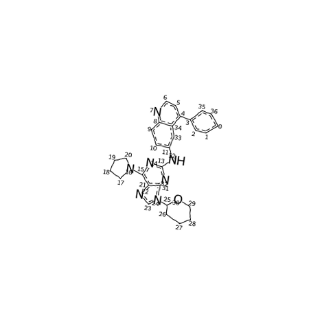 c1ccc(-c2ccnc3ccc(Nc4nc(N5CCCC5)c5ncn(C6CCCCO6)c5n4)cc23)cc1